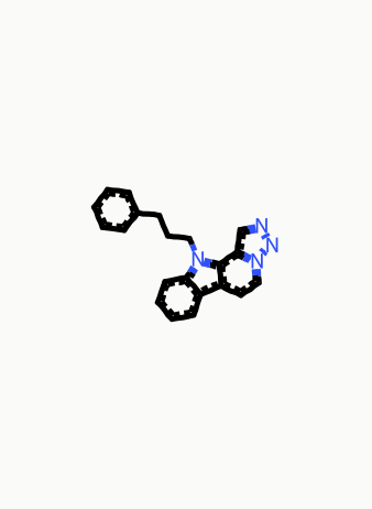 c1ccc(CCCn2c3ccccc3c3ccn4nncc4c32)cc1